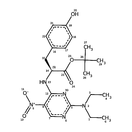 CCN(CC)c1ncc([N+](=O)[O-])c(N[C@@H](Cc2ccc(O)cc2)C(=O)OC(C)(C)C)n1